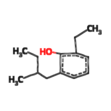 CCc1cccc(CC(C)CC)c1O